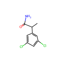 CC(C(N)=O)c1cc(Cl)cc(Cl)c1